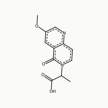 COc1cnc2ccn(C(C)C(=O)O)c(=O)c2c1